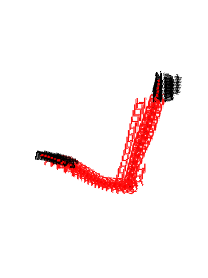 O=C(O)O.O=C(O)O.O=C(O)O.O=C(O)O.O=C(O)O.O=C([O-])O.O=C([O-])O.O=C([O-])O.O=C([O-])O.O=C([O-])O.O=C([O-])O.O=C([O-])O.O=C([O-])O.O=C([O-])O.O=C([O-])O.O=C([O-])O.O=C([O-])O.O=C([O-])O.O=C([O-])O.O=C([O-])O.O=C([O-])O.O=C([O-])O.O=C([O-])O.O=C([O-])O.O=C([O-])O.O=C([O-])O.O=C([O-])O.O=C([O-])O.O=C([O-])O.O=C([O-])O.[Na+].[Na+].[Na+].[Na+].[Na+].[Na+].[Na+].[Na+].[Na+].[Na+].[Na+].[Na+].[Na+].[Na+].[Na+].[Na+].[Na+].[Na+].[Na+].[Na+].[Na+].[Na+].[Na+].[Na+].[Na+]